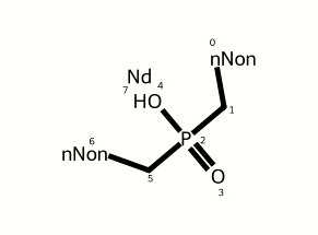 CCCCCCCCCCP(=O)(O)CCCCCCCCCC.[Nd]